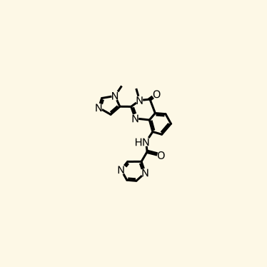 Cn1cncc1-c1nc2c(NC(=O)c3cnccn3)cccc2c(=O)n1C